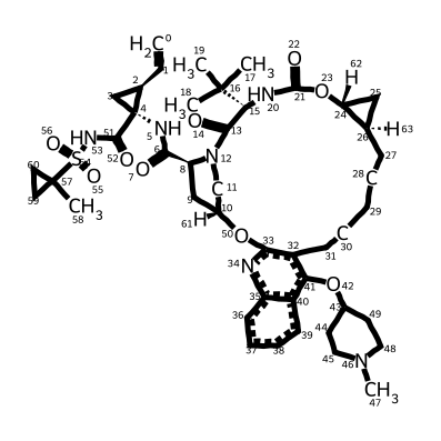 C=C[C@@H]1C[C@]1(NC(=O)[C@@H]1C[C@@H]2CN1C(=O)[C@H](C(C)(C)C)NC(=O)O[C@@H]1C[C@H]1CCCCCc1c(nc3ccccc3c1OC1CCN(C)CC1)O2)C(=O)NS(=O)(=O)C1(C)CC1